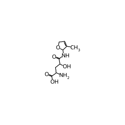 CC1=CCOC1NC(=O)C(O)CC(N)C(=O)O